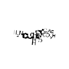 CC(=O)OCC1=C(C(=O)O)N2C(=O)[C@@H](NC(=O)Cc3ccc(N)cc3)[C@H]2SC1